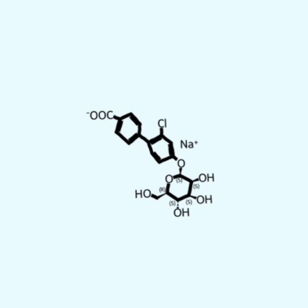 O=C([O-])c1ccc(-c2ccc(O[C@@H]3O[C@H](CO)[C@@H](O)[C@H](O)[C@@H]3O)cc2Cl)cc1.[Na+]